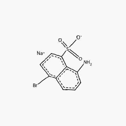 Nc1cccc2c(Br)ccc(S(=O)(=O)[O-])c12.[Na+]